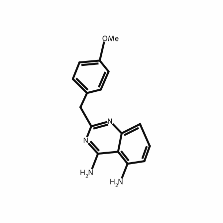 COc1ccc(Cc2nc(N)c3c(N)cccc3n2)cc1